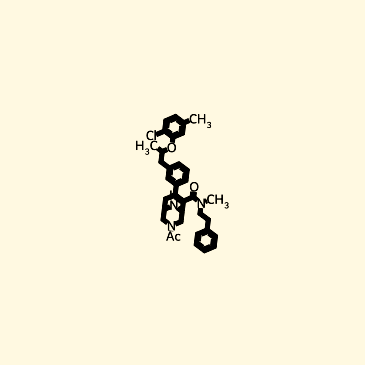 CC(=O)N1CC2CC(c3cccc(CC(C)Oc4cc(C)ccc4Cl)c3)=C(C(=O)N(C)CCc3ccccc3)C(C1)N2